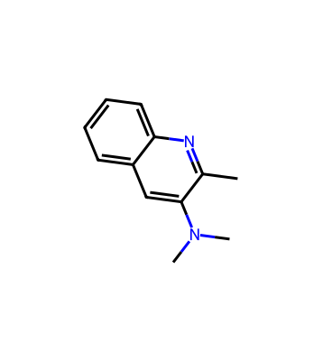 Cc1nc2ccccc2cc1N(C)C